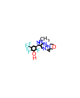 Cn1nc(-c2cc(C(F)(F)F)c(F)c(O)c2F)c2cnc(N3CCOCC34CC4)nc21